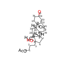 CC(=O)OCCCC1(O)CC[C@H]2[C@@H]3CCC4=CC(=O)CC[C@]4(C)[C@@H]3CC[C@@]21C